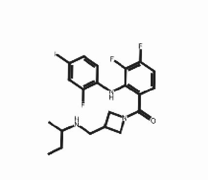 CCC(C)NCC1CN(C(=O)c2ccc(F)c(F)c2Nc2ccc(I)cc2F)C1